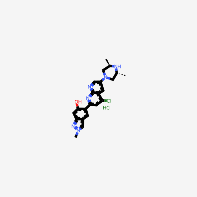 C[C@@H]1CN(c2cnc3nc(-c4cc5cn(C)nc5cc4O)cc(Cl)c3c2)C[C@@H](C)N1.Cl